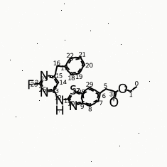 CCOC(=O)Cc1ccc2nc(Nc3cc(Cc4ccccc4)nc(F)n3)sc2c1